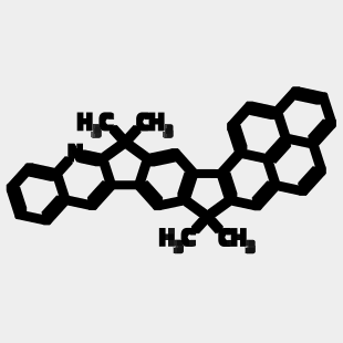 CC1(C)c2cc3c(cc2-c2c1cc1ccc4cccc5ccc2c1c45)C(C)(C)c1nc2ccccc2cc1-3